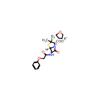 C1CCOC1.CC1(C)S[C@@H]2[C@H](NC(=O)COc3ccccc3)C(=O)N2[C@H]1C(=O)[O-].[K+]